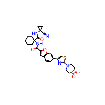 N#CC1(NC(=O)C2(NC(=O)c3cc4ccc(-c5csc(N6CCS(=O)(=O)CC6)n5)cc4o3)CCCCC2)CC1